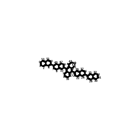 c1ccc2cc(-c3ccc4cc(-c5c6ccccc6c(-c6ccc7cc(-c8ccc9ccccc9c8)ccc7c6)c6cnccc56)ccc4c3)ccc2c1